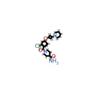 NC(=O)C1CCN(C(=O)c2ccc(OC3CC(N4CCCCC4)C3)cc2Cl)CC1